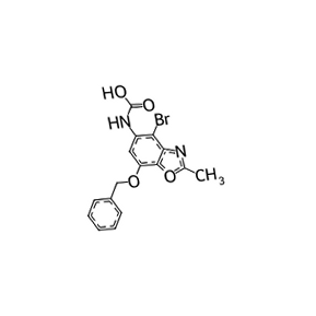 Cc1nc2c(Br)c(NC(=O)O)cc(OCc3ccccc3)c2o1